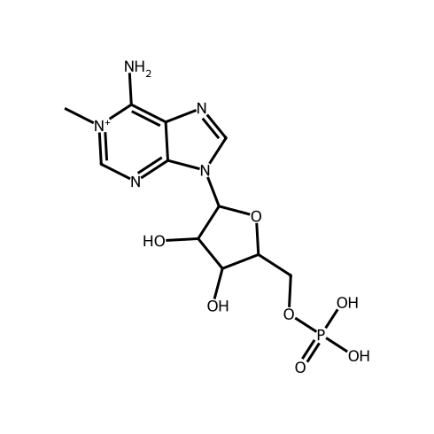 C[n+]1cnc2c(ncn2C2OC(COP(=O)(O)O)C(O)C2O)c1N